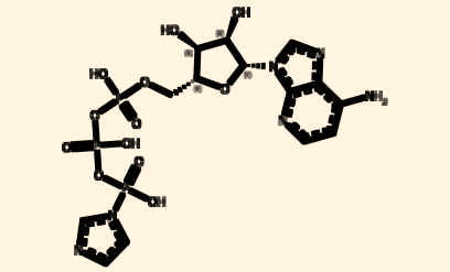 Nc1ccnc2c1ncn2[C@@H]1O[C@H](COP(=O)(O)OP(=O)(O)OP(=O)(O)n2ccnc2)[C@@H](O)[C@H]1O